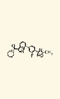 Cc1nc(-c2ccc(-c3cccc4c(C(=O)N5CCCCC5)cnn34)cc2F)no1